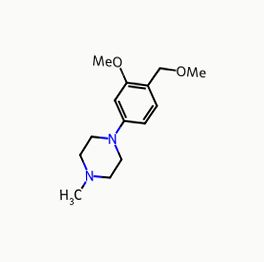 COCc1ccc(N2CCN(C)CC2)cc1OC